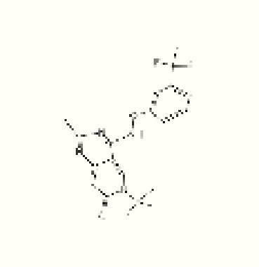 Cc1nc(NOc2cccc(C(C)(F)F)c2)c2cn(C3(C)CC3)c(=O)cc2n1